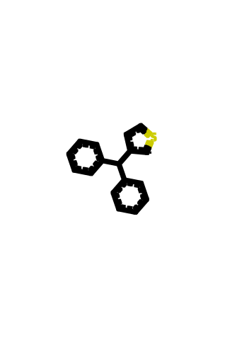 [c]1sccc1C(c1ccccc1)c1ccccc1